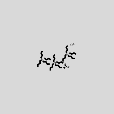 CCCC[N+](CCCC)(CCCC)CCCC.CCCC[N+](CCCC)(CCCC)CCCC.CCCC[N+](CCCC)(CCCC)CCCC.[O-2].[O-]B([O-])[O-]